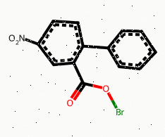 O=C(OBr)c1cc([N+](=O)[O-])ccc1-c1ccccc1